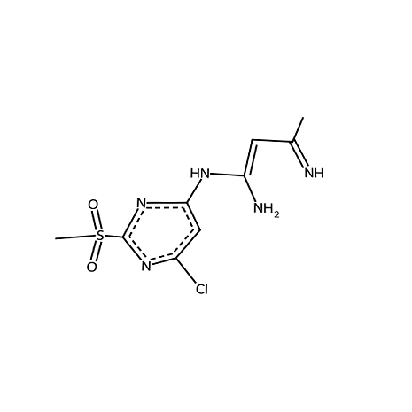 CC(=N)/C=C(\N)Nc1cc(Cl)nc(S(C)(=O)=O)n1